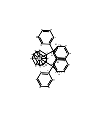 OC(c1ccccc1)(c1ccccc1)[C]12[CH]3[CH]4[CH]5[C]1(C(O)(c1ccccc1)c1ccccc1)[Fe]43521678[CH]2[CH]1[CH]6[CH]7[CH]28